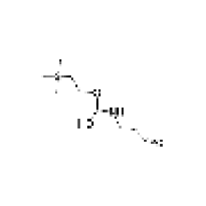 C[Si](C)(C)CCOC(O)NCCC=O